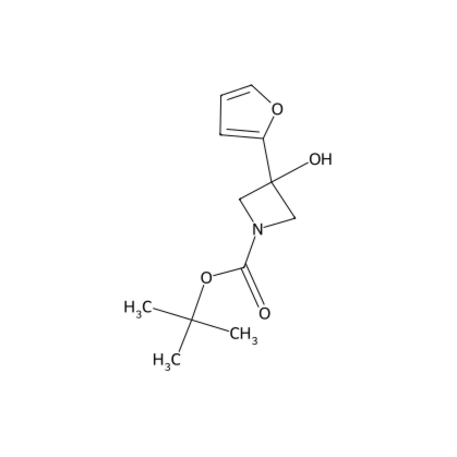 CC(C)(C)OC(=O)N1CC(O)(c2ccco2)C1